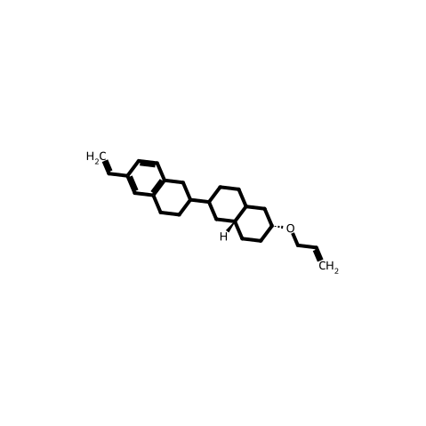 C=CCO[C@@H]1CC[C@@H]2CC(C3CCc4cc(C=C)ccc4C3)CCC2C1